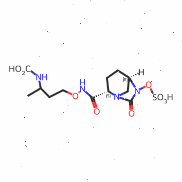 CC(CCONC(=O)[C@@H]1CC[C@@H]2CN1C(=O)N2OS(=O)(=O)O)NC(=O)O